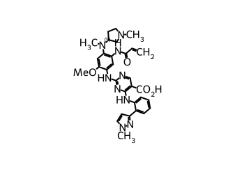 C=CC(=O)Nc1cc(Nc2ncc(C(=O)O)c(Nc3ccccc3-c3ccn(C)n3)n2)c(OC)cc1N(C)[C@H]1CCN(C)C1